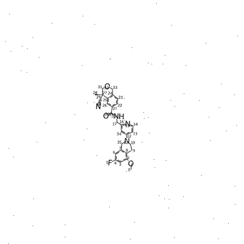 COc1cc(F)cc2c1CCN(c1ccnc(CNC(=O)c3ccc4c(c3)[C@](C)(C#N)COC4)c1)C2